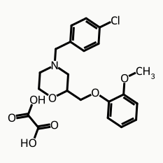 COc1ccccc1OCC1CN(Cc2ccc(Cl)cc2)CCO1.O=C(O)C(=O)O